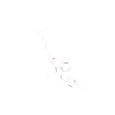 CCOP(C)(=O)OCCCCOC(=O)CC1=C(C)/C(=C/c2ccc([S+](C)[O-])cc2)c2ccc(F)cc21